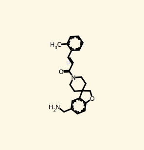 Cc1ccccc1/C=C/C(=O)N1CCC2(CC1)COc1ccc(CN)cc12